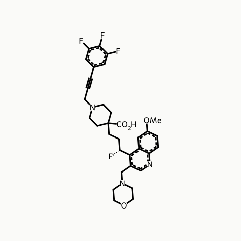 COc1ccc2ncc(CN3CCOCC3)c([C@H](F)CCC3(C(=O)O)CCN(CC#Cc4cc(F)c(F)c(F)c4)CC3)c2c1